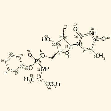 Cc1cn([C@H]2O[C@@H](COP(=O)(N[C@@H](C)C(=O)O)Oc3ccccc3)[C@H](O)[C@H]2F)c(=O)[nH]c1=O